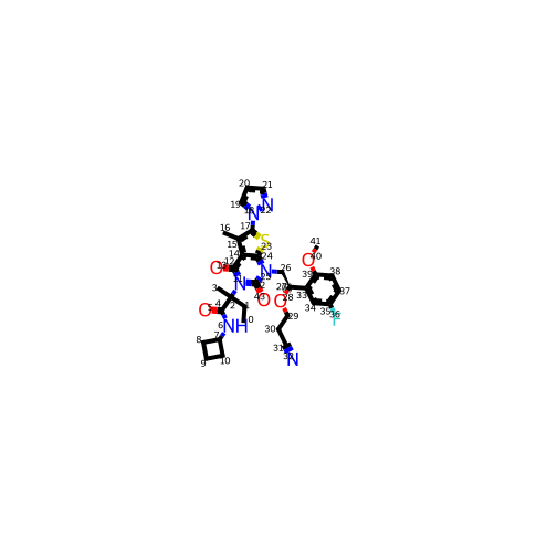 CCC(C)(C(=O)NC1CCC1)n1c(=O)c2c(C)c(-n3cccn3)sc2n(C[C@H](OCCC#N)c2cc(F)ccc2OC)c1=O